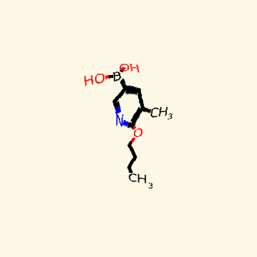 CCCCOc1ncc(B(O)O)cc1C